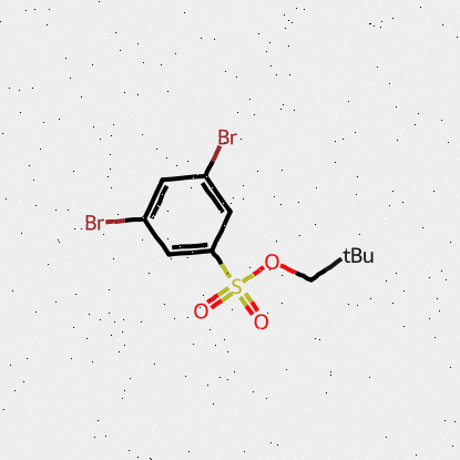 CC(C)(C)COS(=O)(=O)c1cc(Br)cc(Br)c1